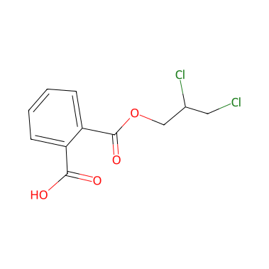 O=C(O)c1ccccc1C(=O)OCC(Cl)CCl